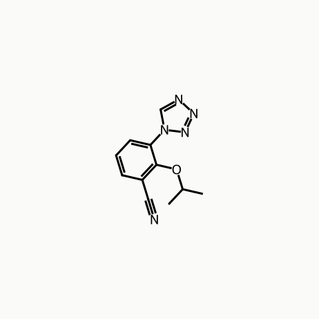 CC(C)Oc1c(C#N)cccc1-n1cnnn1